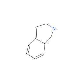 C1=CC2=CC[N]CC2C=C1